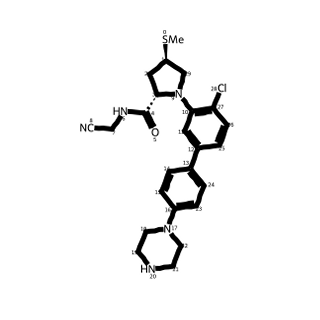 CS[C@@H]1C[C@@H](C(=O)NCC#N)N(c2cc(-c3ccc(N4CCNCC4)cc3)ccc2Cl)C1